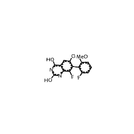 COc1cccc(F)c1-c1c(Cl)cc2c(O)nc(O)nc2c1F